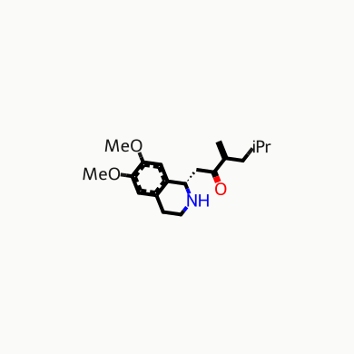 C=C(CC(C)C)C(=O)C[C@@H]1NCCc2cc(OC)c(OC)cc21